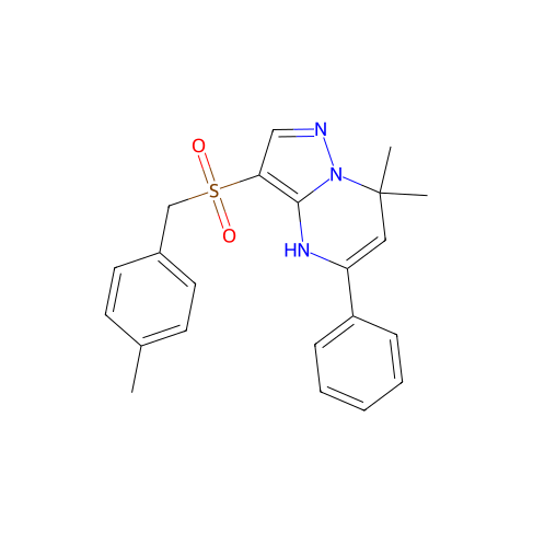 Cc1ccc(CS(=O)(=O)c2cnn3c2NC(c2ccccc2)=CC3(C)C)cc1